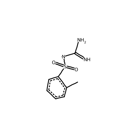 Cc1ccccc1S(=O)(=O)[N]C(=N)N